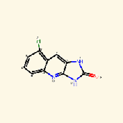 O=c1[nH]c2cc3c(Cl)cccc3nc2[nH]1